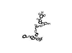 CCN(CCOCCC1CNCCN1c1cccc2c1CN(C1CC(=O)NC(=O)C1)C2=O)CCOc1ccc(Oc2c(-c3ccc(S(C)(=O)=O)cc3)ccc3cc(OCc4ccccc4)ccc23)cc1